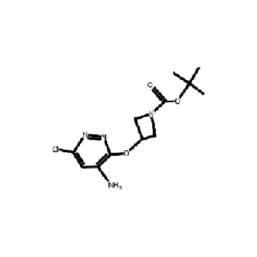 CC(C)(C)OC(=O)N1CC(Oc2nnc(Cl)cc2N)C1